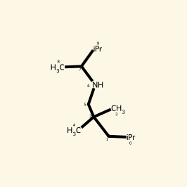 CC(C)CC(C)(C)CNC(C)C(C)C